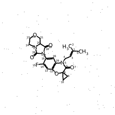 CC(C)=CCN1C(=O)C2(CC2)Oc2cc(F)c(N3C(=O)C4COCCN4C3=O)cc21